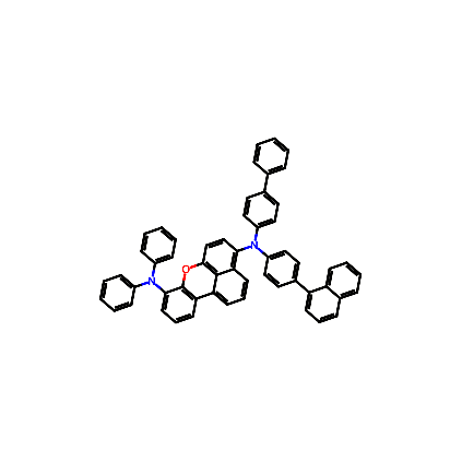 c1ccc(-c2ccc(N(c3ccc(-c4cccc5ccccc45)cc3)c3ccc4c5c(cccc35)-c3cccc(N(c5ccccc5)c5ccccc5)c3O4)cc2)cc1